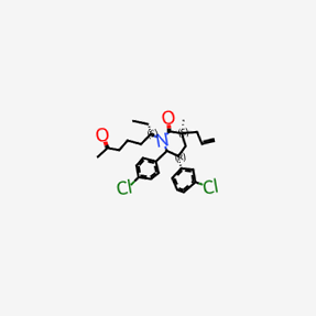 C=CC[C@@]1(C)C[C@H](c2cccc(Cl)c2)C(c2ccc(Cl)cc2)N([C@@H](CC)CCCC(C)=O)C1=O